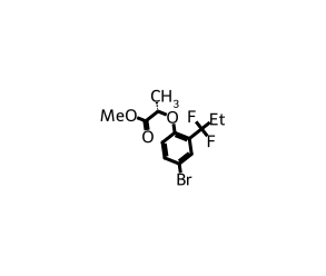 CCC(F)(F)c1cc(Br)ccc1O[C@@H](C)C(=O)OC